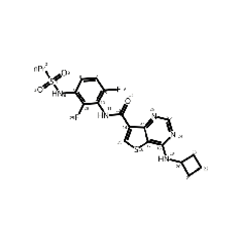 CCCS(=O)(=O)Nc1ccc(F)c(NC(=O)c2csc3c(NC4CCC4)ncnc23)c1F